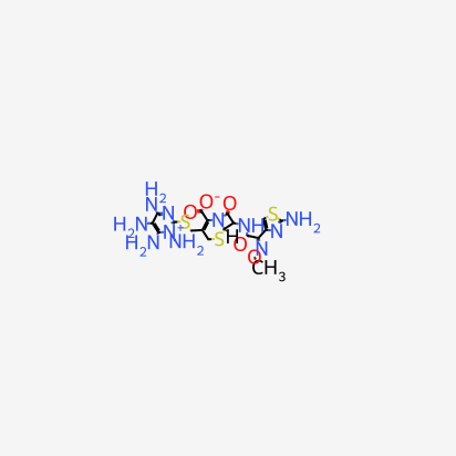 CO/N=C(\C(=O)NC1C(=O)N2C(C(=O)[O-])=C(CSc3nc(N)c(N)c(N)[n+]3N)CS[C@H]12)c1csc(N)n1